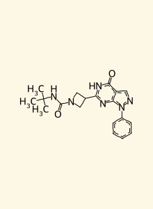 CC(C)(C)NC(=O)N1CC(c2nc3c(cnn3-c3ccccc3)c(=O)[nH]2)C1